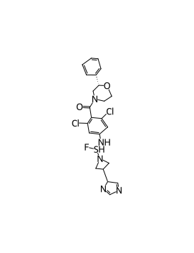 O=C(c1c(Cl)cc(N[SH](F)N2CC(C3C=NC=N3)C2)cc1Cl)N1CCO[C@@H](c2ccccc2)C1